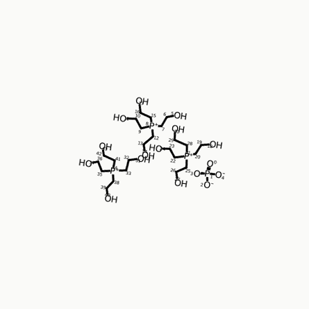 O=P([O-])([O-])[O-].OCC[P+](CCO)(CCO)CCO.OCC[P+](CCO)(CCO)CCO.OCC[P+](CCO)(CCO)CCO